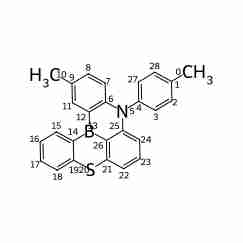 Cc1ccc(N2c3ccc(C)cc3B3c4ccccc4Sc4cccc2c43)cc1